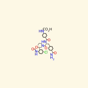 NC(=O)c1ccc(C[C@H](NC(=O)c2ccc(NC(=O)O)cc2)C(=O)N2CCC[C@@]3(C2)OC(=O)Nc2ccc(Cl)cc23)cc1